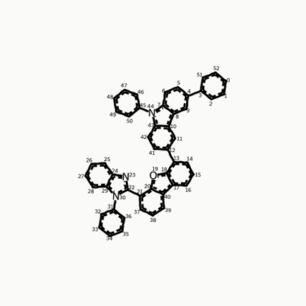 c1ccc(-c2ccc3c(c2)c2cc(-c4cccc5c4oc4c(-c6nc7ccccc7n6-c6ccccc6)cccc45)ccc2n3-c2ccccc2)cc1